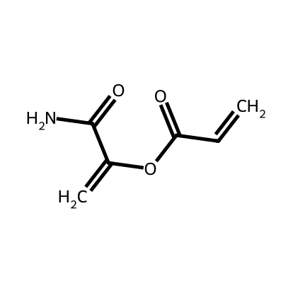 C=CC(=O)OC(=C)C(N)=O